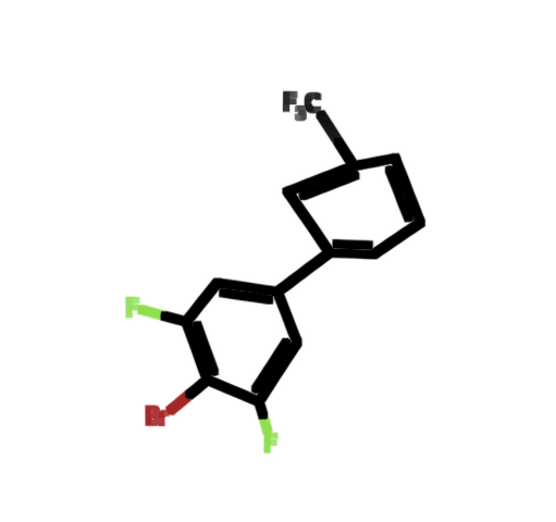 Fc1cc(-c2cccc(C(F)(F)F)c2)cc(F)c1Br